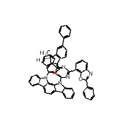 CC1(C)c2cc(-c3ccccc3)ccc2-c2ccc(-n3c4ccccc4c4ccc5c6ccccc6n(-c6nc(-c7ccccc7)nc(-c7cccc8nc(-c9ccccc9)oc78)n6)c5c43)cc21